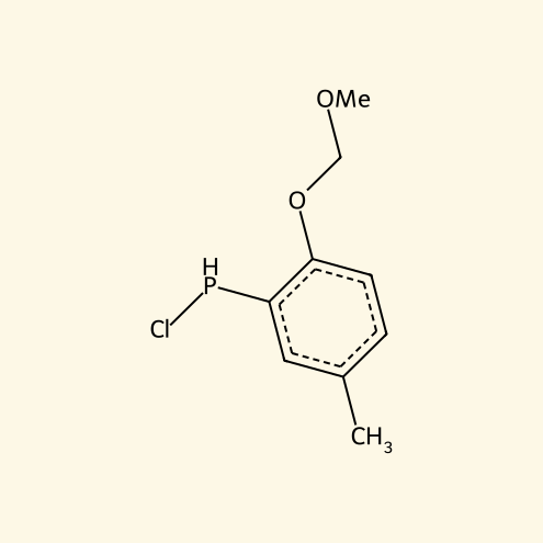 COCOc1ccc(C)cc1PCl